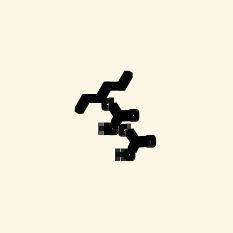 CCCCCC.O=C(O)Cl.O=C(O)Cl